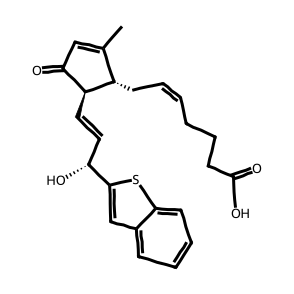 CC1=CC(=O)[C@H](/C=C/[C@@H](O)c2cc3ccccc3s2)[C@H]1C/C=C\CCCC(=O)O